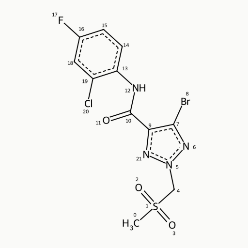 CS(=O)(=O)Cn1nc(Br)c(C(=O)Nc2ccc(F)cc2Cl)n1